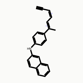 C#C/C=C\C=C(/C)c1ccc(Nc2ccc3ccccc3c2)cc1